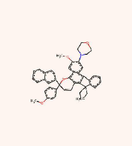 CCC1(CC)c2ccccc2-c2c1c1c(c3cc(OC)c(N4CCOCC4)cc23)OC(c2ccc(OC)cc2)(c2ccc3ccccc3c2)C=C1